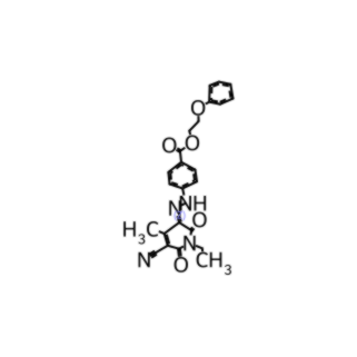 CCN1C(=O)C(C#N)=C(C)/C(=N/Nc2ccc(C(=O)OCCOc3ccccc3)cc2)C1=O